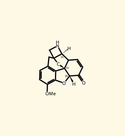 COc1ccc2c3c1O[C@H]1C(=O)C=CC4[C@@H]5NCC5(C2)C[C@@]341